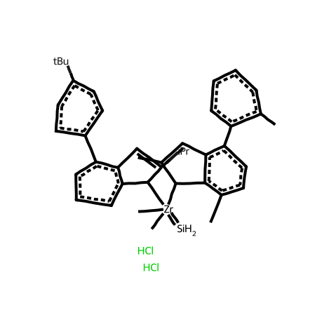 CC1=Cc2c(-c3ccccc3C)ccc(C)c2[CH]1[Zr]([CH3])([CH3])(=[SiH2])[CH]1C(C(C)C)=Cc2c(-c3ccc(C(C)(C)C)cc3)cccc21.Cl.Cl